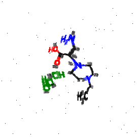 CCN1CCN(C(CN)C(=O)O)CC1.Cl.Cl.Cl